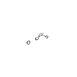 O=[O+][O-].[O]